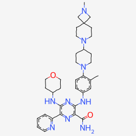 Cc1cc(Nc2nc(NC3CCOCC3)c(-c3ccccn3)nc2C(N)=O)ccc1N1CCC(N2CCC3(CC2)CN(C)C3)CC1